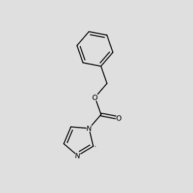 O=C(OCc1ccccc1)n1[c]ncc1